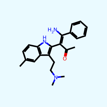 CC(=O)C(=C(N)c1ccccc1)c1[nH]c2ccc(C)cc2c1CCN(C)C